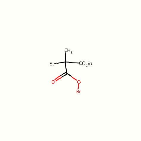 CCOC(=O)C(C)(CC)C(=O)OBr